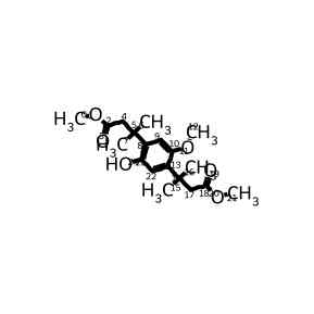 COC(=O)CC(C)(C)c1cc(OC)c(C(C)(C)CC(=O)OC)cc1O